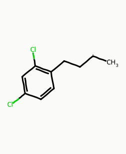 C[CH]CCc1ccc(Cl)cc1Cl